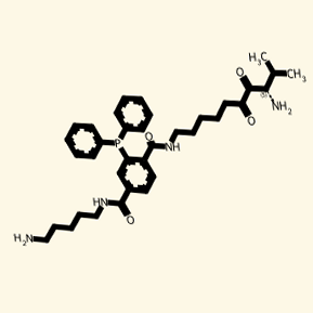 CC(C)[C@H](N)C(=O)C(=O)CCCCCNC(=O)c1ccc(C(=O)NCCCCCN)cc1P(c1ccccc1)c1ccccc1